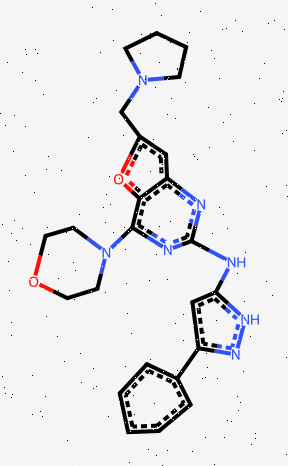 c1ccc(-c2cc(Nc3nc(N4CCOCC4)c4oc(CN5CCCC5)cc4n3)[nH]n2)cc1